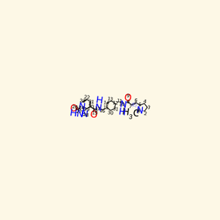 CN1CCCC1/C=C/C(=O)NC[C@H]1CC[C@H](CNC(=O)c2cccn3c(=O)[nH]nc23)CC1